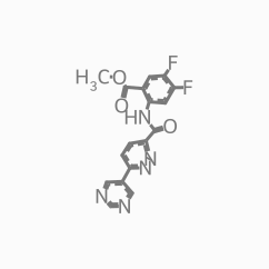 COC(=O)c1cc(F)c(F)cc1NC(=O)c1ccc(-c2cncnc2)nn1